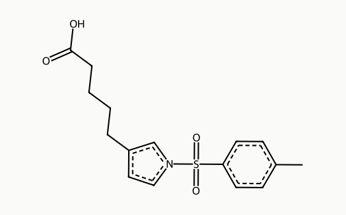 Cc1ccc(S(=O)(=O)n2ccc(CCCCC(=O)O)c2)cc1